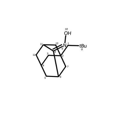 CC(C)(C)CC12CC3CC(C1)C(=NO)C(C3)C2